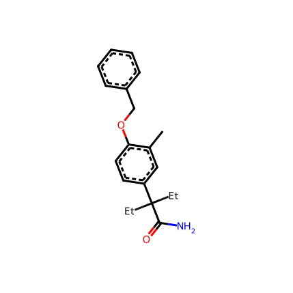 CCC(CC)(C(N)=O)c1ccc(OCc2ccccc2)c(C)c1